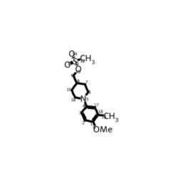 COc1ccc(N2CCC(COS(C)(=O)=O)CC2)cc1C